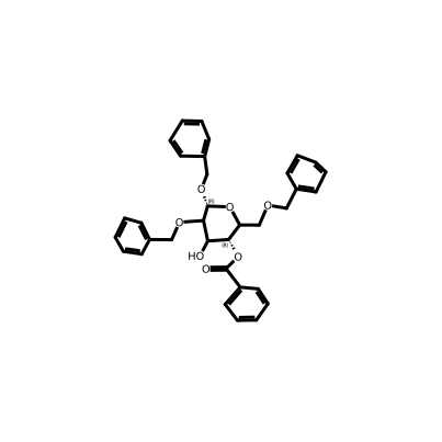 O=C(O[C@H]1C(COCc2ccccc2)O[C@@H](OCc2ccccc2)C(OCc2ccccc2)C1O)c1ccccc1